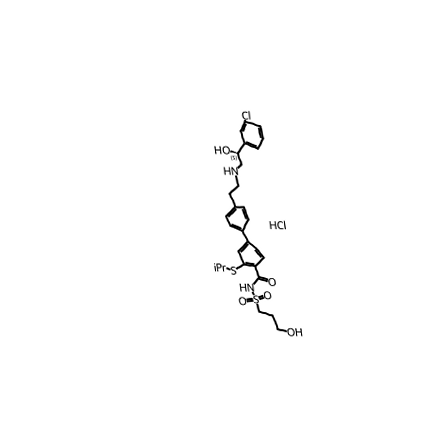 CC(C)Sc1cc(-c2ccc(CCNC[C@@H](O)c3cccc(Cl)c3)cc2)ccc1C(=O)NS(=O)(=O)CCCO.Cl